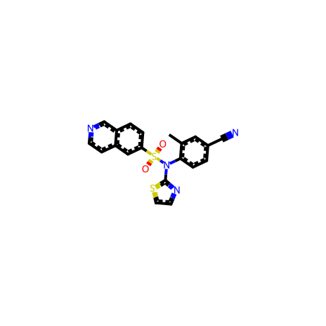 Cc1cc(C#N)ccc1N(c1nccs1)S(=O)(=O)c1ccc2cnccc2c1